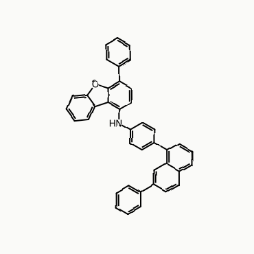 c1ccc(-c2ccc3cccc(-c4ccc(Nc5ccc(-c6ccccc6)c6oc7ccccc7c56)cc4)c3c2)cc1